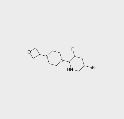 CC(C)C1CNC(N2CCN(C3COC3)CC2)C(F)C1